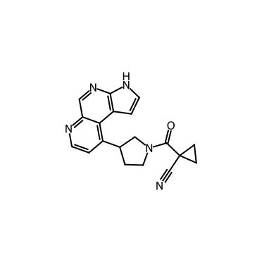 N#CC1(C(=O)N2CCC(c3ccnc4cnc5[nH]ccc5c34)C2)CC1